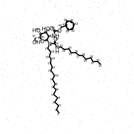 CCCCCCCCCCCCCCCCCCN(C(=O)NCCCCCCCCCCCC)[C@@H]1O[C@H](CO)[C@H](O)[C@H](O)[C@@H]1NC(=O)OCc1ccccc1